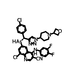 N#Cc1cnc2c(Cl)cc([AsH][C@@H](c3ccc(Cl)cc3)c3cn(C4CCN(C5COC5)CC4)nn3)cc2c1Nc1ccc(F)c(F)c1